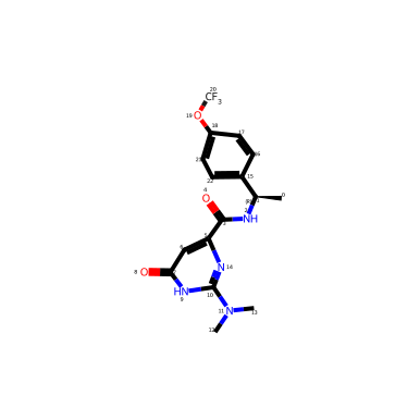 C[C@@H](NC(=O)c1cc(=O)[nH]c(N(C)C)n1)c1ccc(OC(F)(F)F)cc1